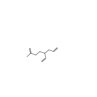 C=CC[C](C=C)CCC(=C)C